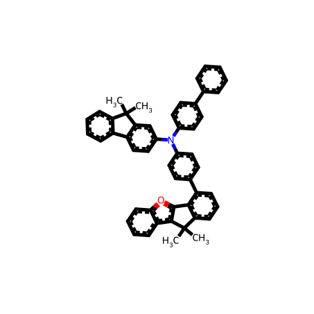 CC1(C)c2ccccc2-c2ccc(N(c3ccc(-c4ccccc4)cc3)c3ccc(-c4cccc5c4-c4oc6ccccc6c4C5(C)C)cc3)cc21